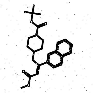 COC(=O)C=C(CC1CCN(C(=O)OC(C)(C)C)CC1)c1ccc2ccccc2c1